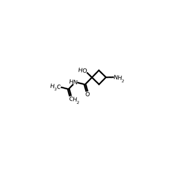 C=C(C)NC(=O)C1(O)CC(N)C1